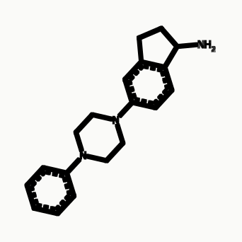 NC1CCc2cc(N3CCN(c4ccccc4)CC3)ccc21